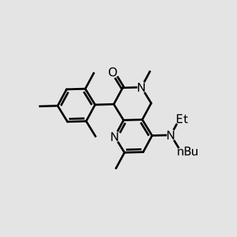 CCCCN(CC)c1cc(C)nc2c1CN(C)C(=O)C2c1c(C)cc(C)cc1C